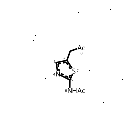 CC(=O)Cc1cnc(NC(C)=O)s1